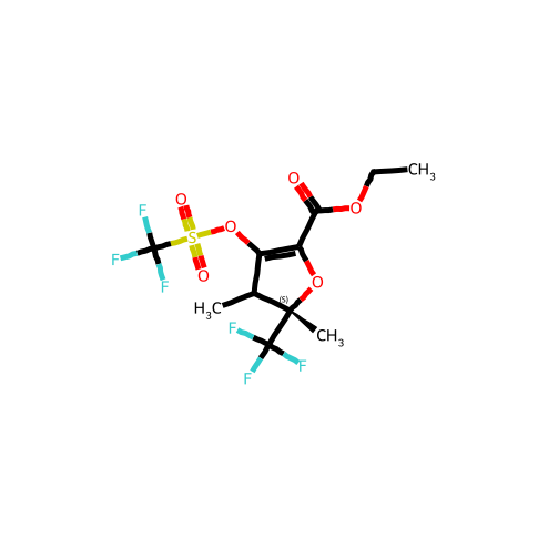 CCOC(=O)C1=C(OS(=O)(=O)C(F)(F)F)C(C)[C@@](C)(C(F)(F)F)O1